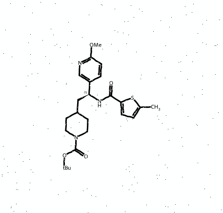 COc1ccc([C@H](CC2CCN(C(=O)OC(C)(C)C)CC2)NC(=O)c2ccc(C)s2)cn1